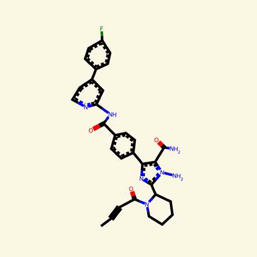 CC#CC(=O)N1CCCCC1c1nc(-c2ccc(C(=O)Nc3cc(-c4ccc(F)cc4)ccn3)cc2)c(C(N)=O)n1N